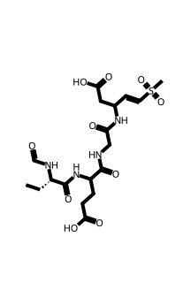 CC[C@H](NC=O)C(=O)NC(CCC(=O)O)C(=O)NCC(=O)NC(/C=C/S(C)(=O)=O)CC(=O)O